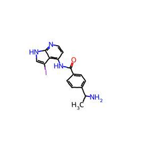 CC(N)c1ccc(C(=O)Nc2ccnc3[nH]cc(I)c23)cc1